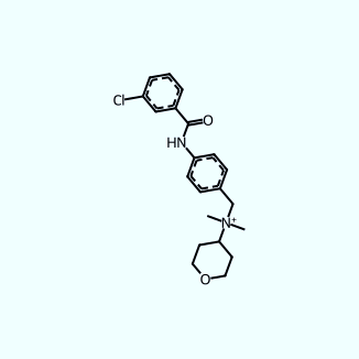 C[N+](C)(Cc1ccc(NC(=O)c2cccc(Cl)c2)cc1)C1CCOCC1